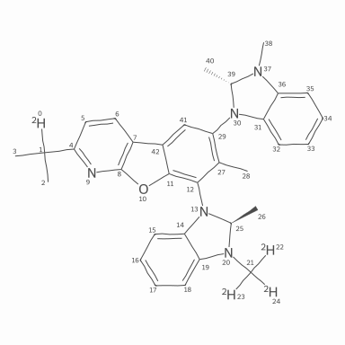 [2H]C(C)(C)c1ccc2c(n1)oc1c(N3c4ccccc4N(C([2H])([2H])[2H])[C@@H]3C)c(C)c(N3c4ccccc4N(C)[C@H]3C)cc12